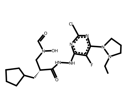 CCN1CCCN1c1nc(Cl)nc(NNC(=O)[C@H](CC2CCCC2)CN(O)C=O)c1F